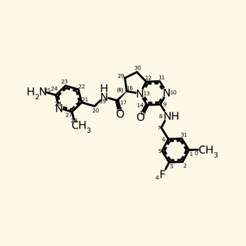 Cc1cc(F)cc(CNc2ncc3n(c2=O)[C@@H](C(=O)NCc2ccc(N)nc2C)CC3)c1